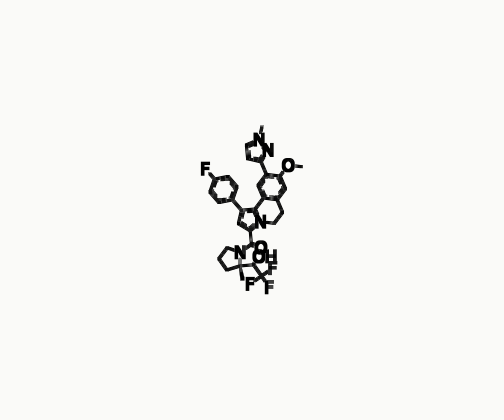 COc1cc2c(cc1-c1ccn(C)n1)-c1c(-c3ccc(F)cc3)cc(C(=O)N3CCC[C@@]3(C)[C@@H](O)C(F)(F)F)n1CC2